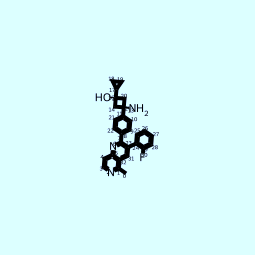 Cc1nccc2nc(-c3ccc([C@]4(N)C[C@@](O)(C5CC5)C4)cc3)c(-c3ccccc3F)cc12